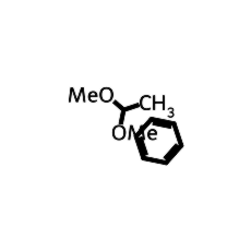 COC(C)OC.c1ccccc1